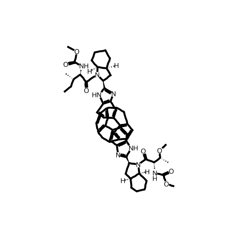 CC[C@H](C)[C@H](NC(=O)OC)C(=O)N1[C@H](c2nc3cc(-c4cc5ccc4CCc4ccc(c(-c6ccc7[nH]c([C@@H]8C[C@@H]9CCCC[C@@H]9N8C(=O)[C@@H](NC(=O)OC)[C@@H](C)OC)nc7c6)c4)CC5)ccc3[nH]2)C[C@@H]2CCCC[C@@H]21